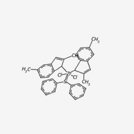 CC1=Cc2cc(C)ccc2[CH]1[Zr]([Cl])([Cl])([CH]1C(C)=Cc2cc(C)ccc21)=[Si](c1ccccc1)c1ccccc1